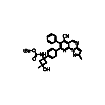 Cc1cc2ncc3c(C#N)c(-c4ccccc4)c(-c4ccc([C@]5(NC(=O)OC(C)(C)C)C[C@](C)(O)C5)cc4)nc3n2n1